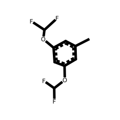 Cc1cc(OC(F)F)cc(OC(F)F)c1